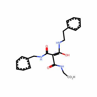 O=C(O)CNC(=O)/C(C(=O)NCc1ccccc1)=C(\O)NCCc1ccccc1